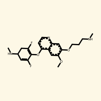 CNCCCOc1cc2nccc(OC3=C(F)CC(NC)C=C3F)c2cc1OC